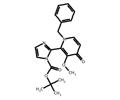 COc1c(-c2nccn2C(=O)OC(C)(C)C)n(Cc2ccccc2)ccc1=O